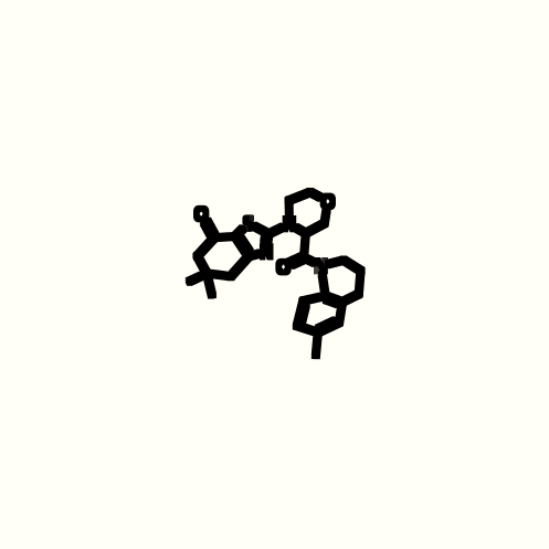 Cc1ccc2c(c1)CCCN2C(=O)C1COCCN1c1nc2c(s1)C(=O)CC(C)(C)C2